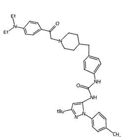 CCN(CC)c1ccc(C(=O)CN2CCC(Cc3ccc(NC(=O)Nc4cc(C(C)(C)C)nn4-c4ccc(C)cc4)cc3)CC2)cc1